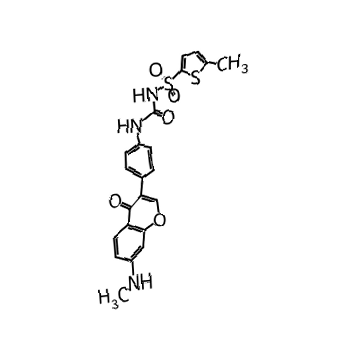 CNc1ccc2c(=O)c(-c3ccc(NC(=O)NS(=O)(=O)c4ccc(C)s4)cc3)coc2c1